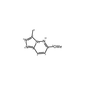 COc1ccc2nnc(C)n2n1